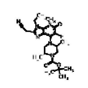 CCn1c(CC#N)nc2c(N3C[C@@H](C)N(C(=O)OC(C)(C)C)C[C@@H]3C)c(F)c(=O)n(C)c21